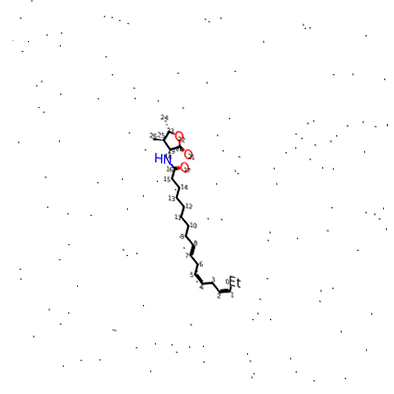 CC/C=C\C/C=C\C/C=C/CCCCCCCC(=O)N[C@H]1C(=O)O[C@@H](C)[C@@H]1C